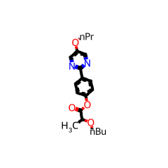 CCCCOC(C)C(=O)Oc1ccc(-c2ncc(OCCC)cn2)cc1